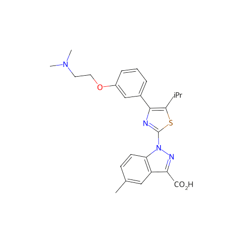 Cc1ccc2c(c1)c(C(=O)O)nn2-c1nc(-c2cccc(OCCN(C)C)c2)c(C(C)C)s1